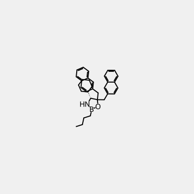 CCCCB1N[C@H](C2CCCCC2)C(Cc2ccc3ccccc3c2)(Cc2ccc3ccccc3c2)O1